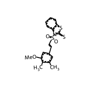 COc1cc(/C=C/S(=O)(=O)n2c(=S)sc3ccccc32)cc(C)c1C